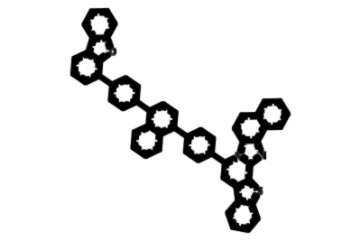 c1ccc2c(c1)ccc1c2nc2c3sc4ccccc4c3cc(-c3ccc(-c4ccc(-c5ccc(-c6cccc7c6oc6ccccc67)cc5)c5ccccc45)cc3)n12